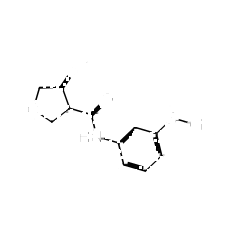 O=C(Nc1cccc(SC(F)(F)F)c1)C1COCC1=S